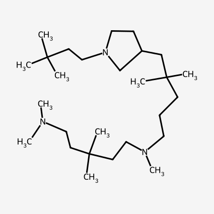 CN(C)CCC(C)(C)CCN(C)CCCC(C)(C)CC1CCN(CCC(C)(C)C)C1